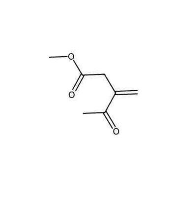 C=C(CC(=O)OC)C(C)=O